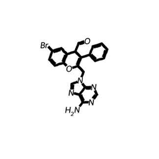 Nc1ncnc2c1ncn2CC1=C(c2ccccc2)C(C=O)c2cc(Br)ccc2O1